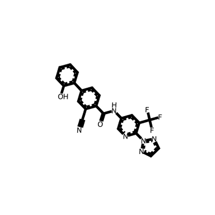 N#Cc1cc(-c2ccccc2O)ccc1C(=O)Nc1cnc(-n2nccn2)c(C(F)(F)F)c1